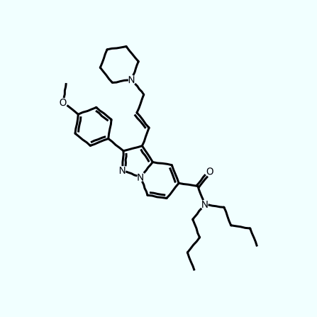 CCCCN(CCCC)C(=O)c1ccn2nc(-c3ccc(OC)cc3)c(C=CCN3CCCCC3)c2c1